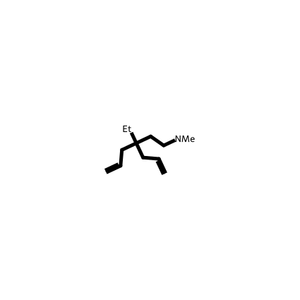 C=CCC(CC)(CC=C)CCNC